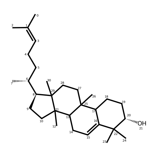 CC(C)=CCC[C@@H](C)[C@@H]1CCC2(C)C3CC=C4C(CC[C@H](O)C4(C)C)C3(C)CCC12C